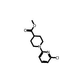 COC(=O)C1CCN(c2cccc(Cl)n2)CC1